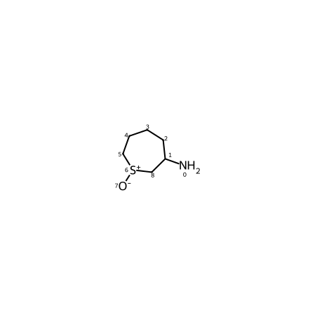 NC1CCCC[S+]([O-])C1